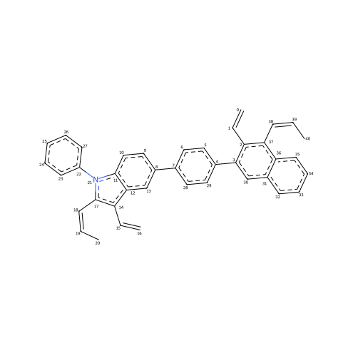 C=Cc1c(-c2ccc(-c3ccc4c(c3)c(C=C)c(/C=C\C)n4-c3ccccc3)cc2)cc2ccccc2c1/C=C\C